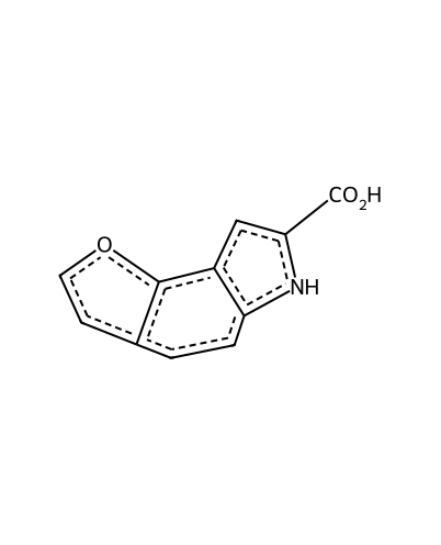 O=C(O)c1cc2c(ccc3ccoc32)[nH]1